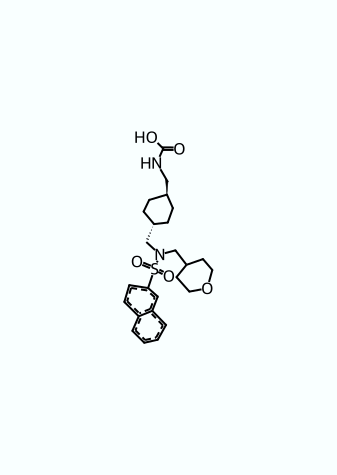 O=C(O)NC[C@H]1CC[C@H](CN(CC2CCOCC2)S(=O)(=O)c2ccc3ccccc3c2)CC1